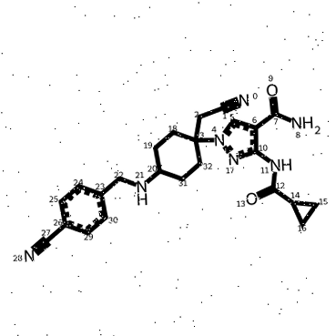 N#CCC1(n2cc(C(N)=O)c(NC(=O)C3CC3)n2)CCC(NCc2ccc(C#N)cc2)CC1